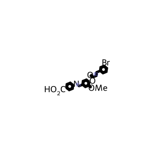 COc1cc(/C=N/c2ccc(C(=O)O)cc2)ccc1OC(=O)/C=C/c1cccc(Br)c1